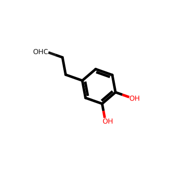 O=CCCc1ccc(O)c(O)c1